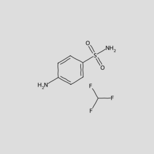 FC(F)F.Nc1ccc(S(N)(=O)=O)cc1